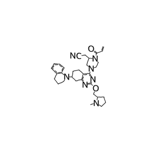 C=CC(=O)N1CCN(c2nc(OCC3CCCN3C)nc3c2CCC(N2CCCc4ccccc42)C3)CC1CC#N